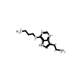 CCCCOc1ncnc2c(CCN)c[nH]c12